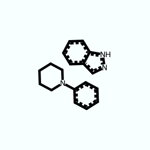 c1ccc(N2CCCCC2)cc1.c1ccc2[nH]ncc2c1